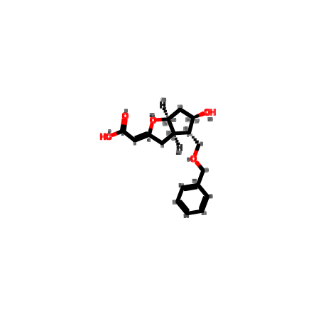 O=C(O)C=C1C[C@@H]2[C@@H](COCc3ccccc3)[C@H](O)C[C@@H]2O1